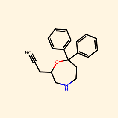 C#CCC1CNCCC(c2ccccc2)(c2ccccc2)O1